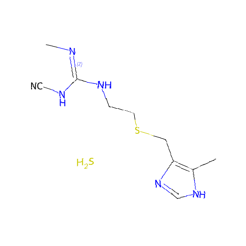 C/N=C(\NC#N)NCCSCc1nc[nH]c1C.S